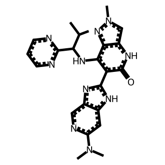 CC(C)C(Nc1c(-c2nc3cnc(N(C)C)cc3[nH]2)c(=O)[nH]c2cn(C)nc12)c1ncccn1